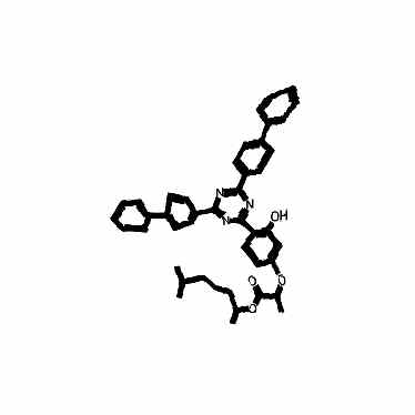 CC(C)CCCC(C)OC(=O)C(C)Oc1ccc(-c2nc(-c3ccc(-c4ccccc4)cc3)nc(-c3ccc(-c4ccccc4)cc3)n2)c(O)c1